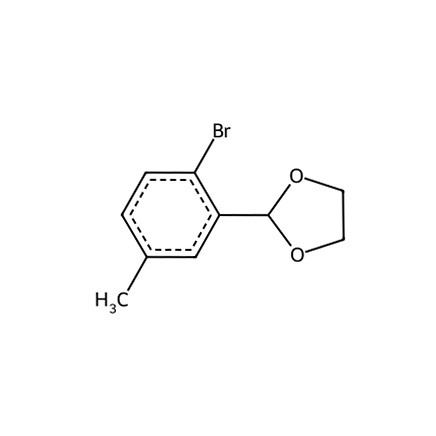 Cc1ccc(Br)c(C2OCCO2)c1